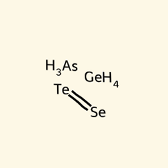 [AsH3].[GeH4].[Se]=[Te]